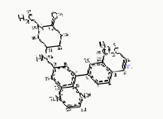 C/C=C\c1ccc(-c2cc(NC3CCC(=O)N(C)C3)cc3nccnc23)cc1C